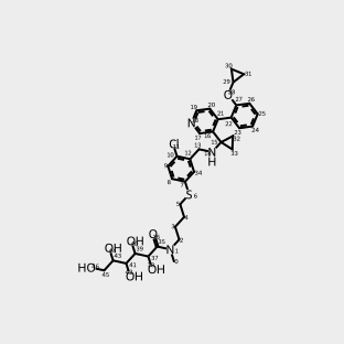 CN(CCCCSc1ccc(Cl)c(CNC2(c3cnccc3-c3ccccc3OC3CC3)CC2)c1)C(=O)C(O)C(O)C(O)C(O)CO